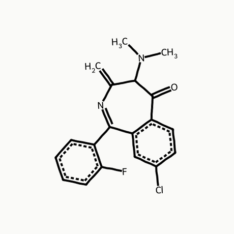 C=C1N=C(c2ccccc2F)c2cc(Cl)ccc2C(=O)C1N(C)C